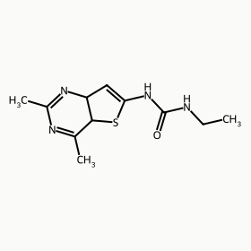 CCNC(=O)NC1=CC2N=C(C)N=C(C)C2S1